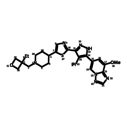 CCC1(CN2CCC(c3cnc(-c4n[nH]c(-c5cc(OC)c6ncnn6c5)c4C(C)C)s3)CC2)COC1